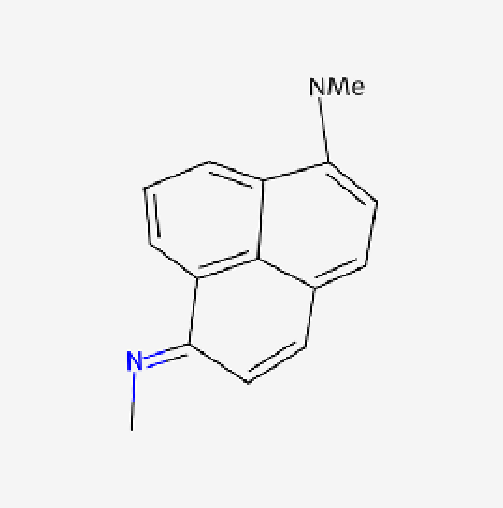 CN=C1C=Cc2ccc(NC)c3cccc1c23